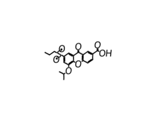 CCCS(=O)(=O)c1cc(OC(C)C)c2oc3ccc(C(=O)O)cc3c(=O)c2c1